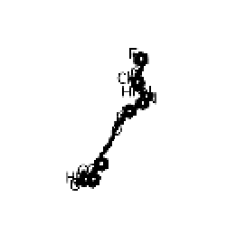 O=C1Cc2cccc(Oc3cccc(CCCCCCCOCCOc4ccc(-c5ccc6ncnc(Nc7ccc(OCc8cccc(F)c8)c(Cl)c7)c6c5)cc4)c3)c2C(=O)N1